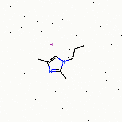 CCCn1cc(C)nc1C.I